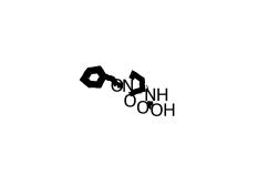 O=C(O)N[C@H]1CCN(OCc2ccccc2)C1=O